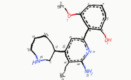 CCCOc1cccc(O)c1-c1cc(C2CCCNC2)c(C#N)c(N)n1